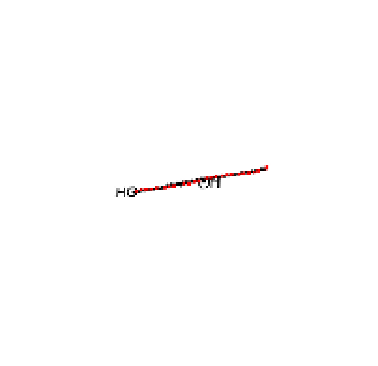 CCCCCCCCCCCCCCCCCCCCCCCCCC(O)CCCCCCCCCCCCCCCCCCCCCCCCCCCCO